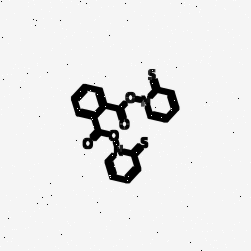 O=C(On1ccccc1=S)c1ccccc1C(=O)On1ccccc1=S